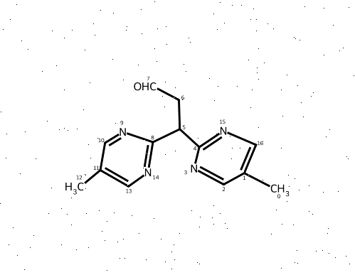 Cc1cnc(C(CC=O)c2ncc(C)cn2)nc1